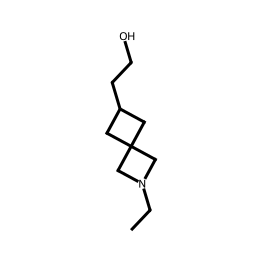 CCN1CC2(CC(CCO)C2)C1